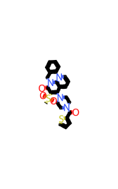 CS(=O)(=O)c1c(N2CCN(C(=O)c3cccs3)CC2)c2cccnc2n(Cc2ccccc2)c1=O